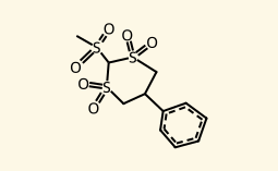 CS(=O)(=O)C1S(=O)(=O)CC(c2ccccc2)CS1(=O)=O